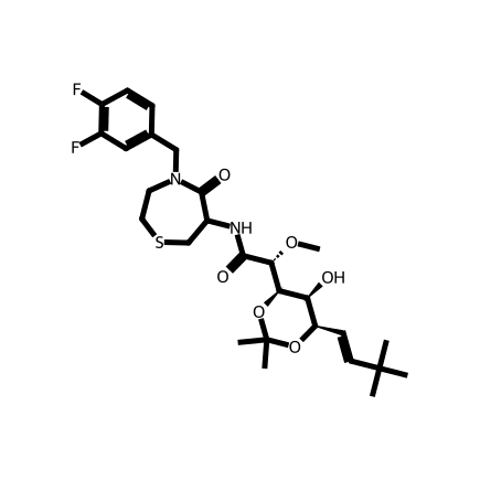 CO[C@@H](C(=O)NC1CSCCN(Cc2ccc(F)c(F)c2)C1=O)[C@@H]1OC(C)(C)O[C@H](/C=C/C(C)(C)C)[C@@H]1O